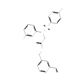 Cc1ccc(S(=O)(=O)N(CC(=O)NCc2cccc(C=O)c2)c2cccc(F)c2)cc1